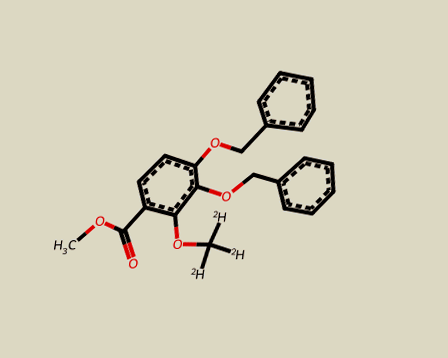 [2H]C([2H])([2H])Oc1c(C(=O)OC)ccc(OCc2ccccc2)c1OCc1ccccc1